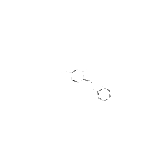 CC1=CC(O)C(=NCc2ccccn2)C=C1